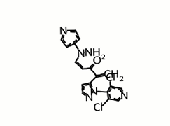 C=C(C(=O)/C=C\N(N)c1ccncc1)c1ccnn1-c1c(Cl)cncc1Cl